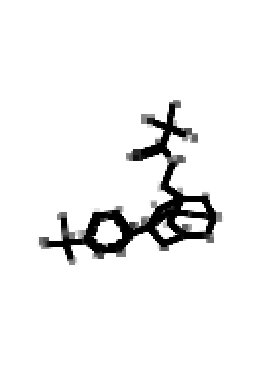 CC(F)(F)C(=O)OCC12CC3CC(C1)CC(c1ccc(C(C)(C)C)cc1)(C3)C2